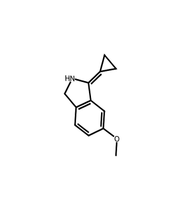 COc1ccc2c(c1)C(=C1CC1)NC2